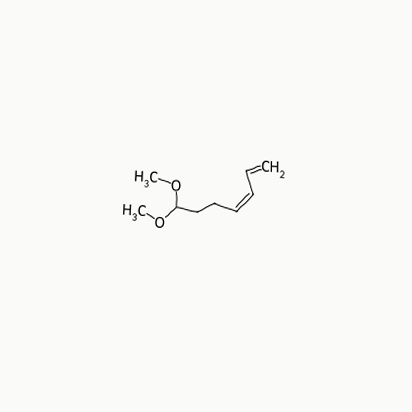 C=C/C=C\CCC(OC)OC